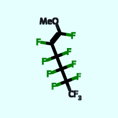 COC(F)=C(F)C(F)(F)C(F)(F)C(F)(F)C(F)(F)F